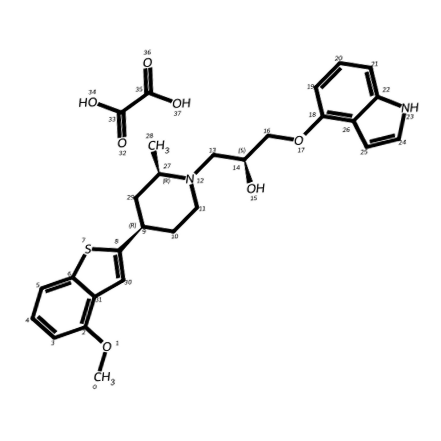 COc1cccc2sc([C@@H]3CCN(C[C@H](O)COc4cccc5[nH]ccc45)[C@H](C)C3)cc12.O=C(O)C(=O)O